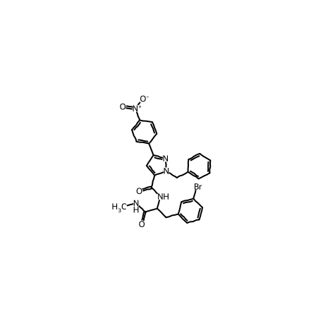 CNC(=O)C(Cc1cccc(Br)c1)NC(=O)c1cc(-c2ccc([N+](=O)[O-])cc2)nn1Cc1ccccc1